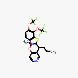 CCCC(c1nc2ccc(OC(F)(F)F)c(OC(F)(F)F)c2s1)c1cnccc1OCC